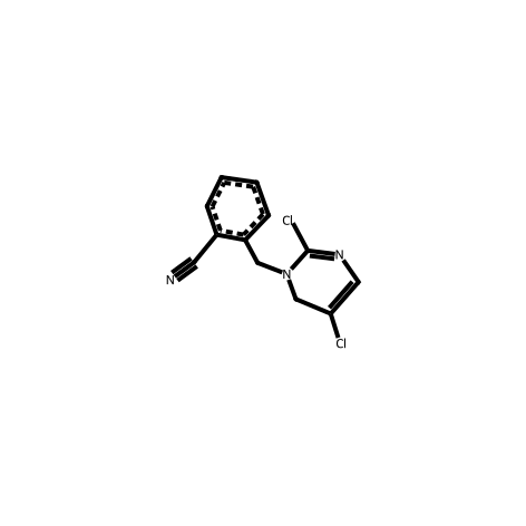 N#Cc1ccccc1CN1CC(Cl)=CN=C1Cl